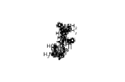 CC[C@H](C)[C@H](NC(=O)CNC(=O)[C@H](C)NC(=O)[C@@H](NC(=O)[C@H](CC(N)=O)NC(=O)[C@@H](N)[C@@H](C)O)[C@@H](C)CC)C(=O)N[C@@H](Cc1c[nH]c2ccccc12)C(=O)N[C@@H](C)C(=O)N[C@@H](Cc1c[nH]c2ccccc12)C(=O)N[C@@H](CC(N)=O)C(N)=O